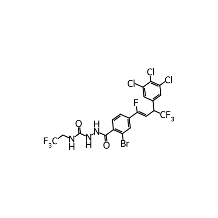 O=C(NCC(F)(F)F)NNC(=O)c1ccc(C(F)=CC(c2cc(Cl)c(Cl)c(Cl)c2)C(F)(F)F)cc1Br